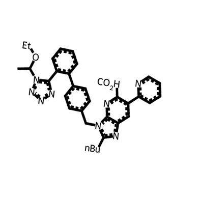 CCCCc1nc2cc(-c3ccccn3)c(C(=O)O)nc2n1Cc1ccc(-c2ccccc2-c2nnnn2C(C)OCC)cc1